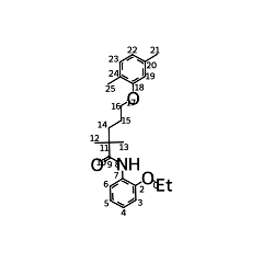 CCOc1ccccc1NC(=O)C(C)(C)CCCOc1cc(C)ccc1C